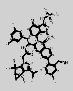 Cn1nc(NS(C)(=O)=O)c2c(Cl)ccc(-n3c([C@H](Cc4cc(F)cc(F)c4)NC(=O)Cn4nc(C(F)F)c5c4C(F)(F)C4C[C@@H]54)nc4cc(-c5ccc(F)cc5CO)ccc4c3=O)c21